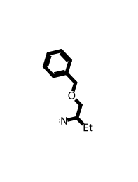 CCC([N])COCc1ccccc1